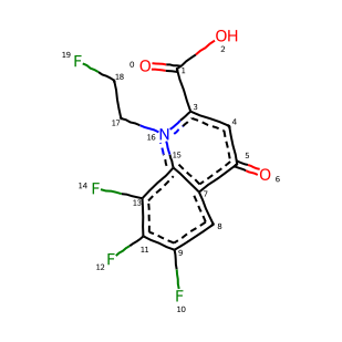 O=C(O)c1cc(=O)c2cc(F)c(F)c(F)c2n1CCF